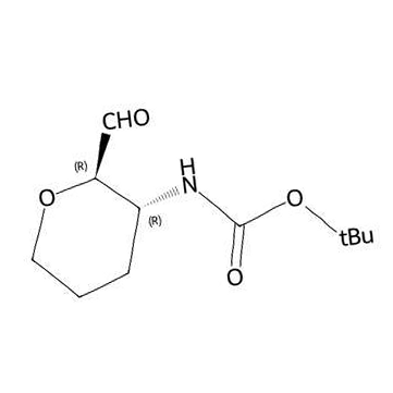 CC(C)(C)OC(=O)N[C@@H]1CCCO[C@H]1C=O